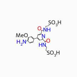 COc1cc(-c2cc(C(=O)NCCS(=O)(=O)O)nc(C(=O)NCCS(=O)(=O)O)c2)ccc1N